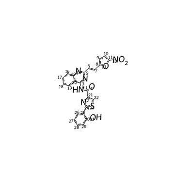 O=C(Nc1nc(/C=C/c2ccc([N+](=O)[O-])o2)nc2ccccc12)c1csc(-c2ccccc2O)n1